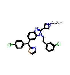 O=C(O)N1CC(c2nc3ccc(C(c4ccc(Cl)cc4)c4nccs4)cc3n2CCc2cccc(Cl)c2)C1